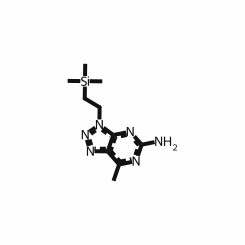 Cc1nc(N)nc2c1nnn2CC[Si](C)(C)C